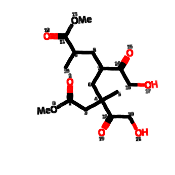 COC(=O)CC(C)(CC(CC(C)C(=O)OC)C(=O)CO)C(=O)CO